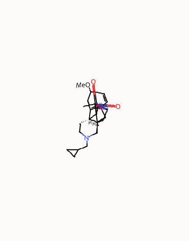 COC1C=CC2=C(C1)[C@]13CCN(CC4CC4)C[C@]1(CC[C@]1(C3)NC(=O)NC1=O)C2